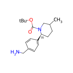 CC1CC[C@@H](c2ccc(CN)cc2)N(C(=O)OC(C)(C)C)C1